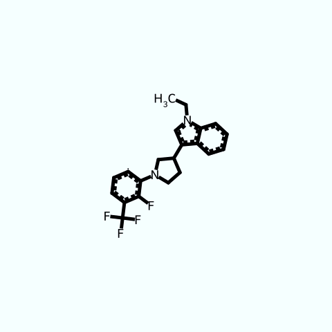 CCn1cc(C2CCN(c3[c]ccc(C(F)(F)F)c3F)C2)c2ccccc21